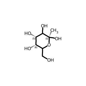 C[C@]1(O)OC(CO)[C@H](O)[C@H](O)C1O